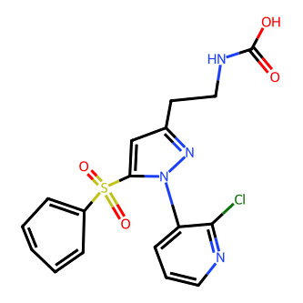 O=C(O)NCCc1cc(S(=O)(=O)c2ccccc2)n(-c2cccnc2Cl)n1